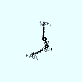 C=C(C)C(=O)OCCCCCCOC(=O)c1cc(OC(=O)c2ccc(OCCCCCCOC(=O)C(=C)C)cc2)ccc1O